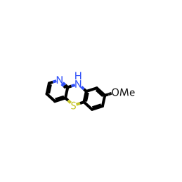 COc1ccc2c(c1)Nc1ncccc1S2